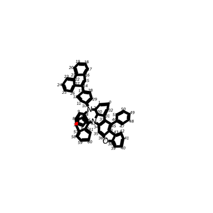 C1=CC(N(c2ccccc2)c2ccc(-c3cc4ccccc4c4ccccc34)cc2)C2C(=C1)c1c(cc3oc4ccccc4c3c1-c1ccccc1)N2c1cccc2ccccc12